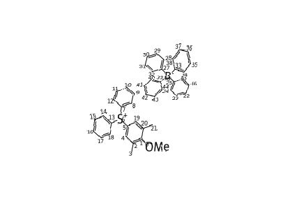 COc1c(C)cc([S+](c2ccccc2)c2ccccc2)cc1C.c1ccc([B-](c2ccccc2)(c2ccccc2)c2ccccc2)cc1